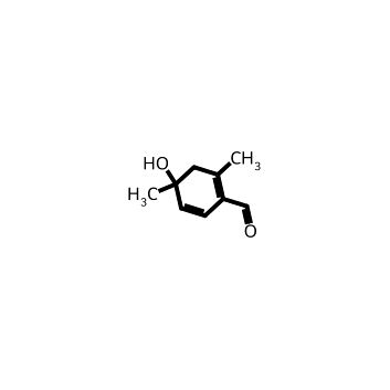 CC1=C(C=O)C=CC(C)(O)C1